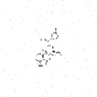 CN1CC(C(O)C2=CC(=O)CC2)C[C@@H]2c3cccc4[nH]c(Cl)c(c34)C[C@H]21